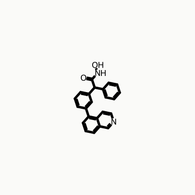 O=C(NO)C(c1ccccc1)c1cccc(-c2cccc3cnccc23)c1